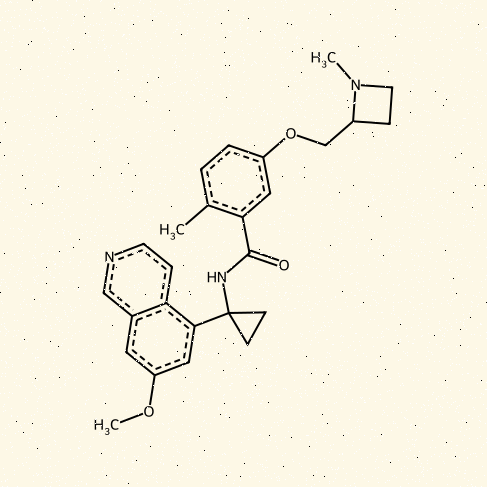 COc1cc(C2(NC(=O)c3cc(OCC4CCN4C)ccc3C)CC2)c2ccncc2c1